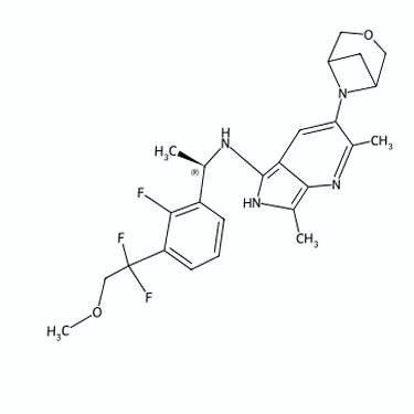 COCC(F)(F)c1cccc([C@@H](C)Nc2[nH]c(C)c3nc(C)c(N4C5COCC4C5)cc23)c1F